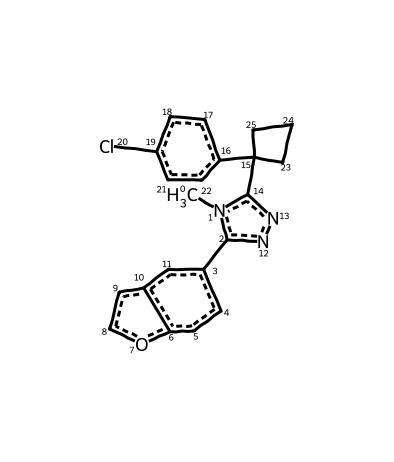 Cn1c(-c2ccc3occc3c2)nnc1C1(c2ccc(Cl)cc2)CCC1